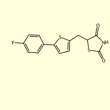 O=C1NC(=O)C(Cc2ccc(-c3ccc(F)cc3)s2)S1